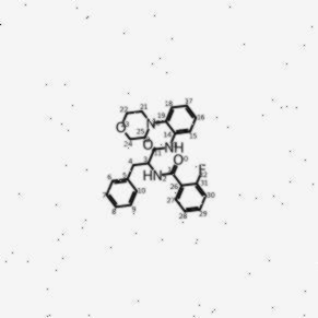 O=C(NC(Cc1ccccc1)C(=O)Nc1ccccc1N1CCOCC1)c1ccccc1F